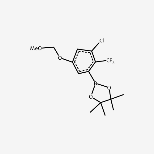 COCOc1cc(Cl)c(C(F)(F)F)c(B2OC(C)(C)C(C)(C)O2)c1